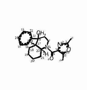 Cc1nc(C(=O)N2CCC(O)(c3ccccc3)[C@H]3CCCC[C@H]32)c(C)o1